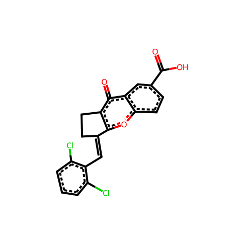 O=C(O)c1ccc2oc3c(c(=O)c2c1)CCC3=Cc1c(Cl)cccc1Cl